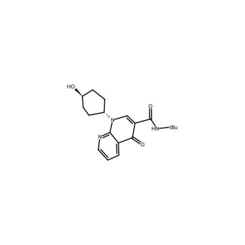 CC(C)(C)NC(=O)c1cn([C@H]2CC[C@H](O)CC2)c2ncccc2c1=O